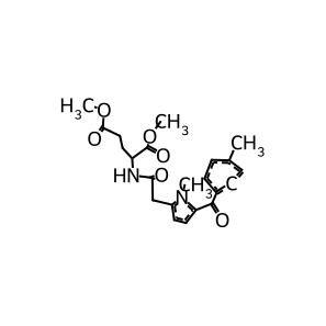 COC(=O)CCC(NC(=O)Cc1ccc(C(=O)c2ccc(C)cc2)n1C)C(=O)OC